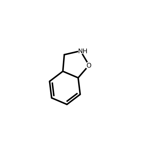 C1=CC2CNOC2C=C1